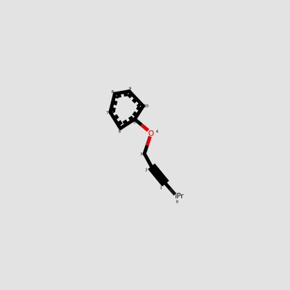 CC(C)C#CCOc1ccccc1